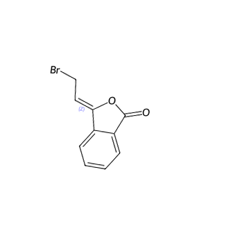 O=C1O/C(=C\CBr)c2ccccc21